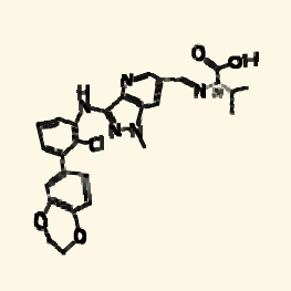 CC(C)[C@H](N=Cc1cnc2c(Nc3cccc(-c4ccc5c(c4)OCCO5)c3Cl)nn(C)c2c1)C(=O)O